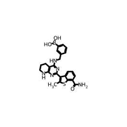 Cc1sc2c(C(N)=O)cccc2c1-c1nc2c(c(NCc3cccc(B(O)O)c3)n1)CCCN2